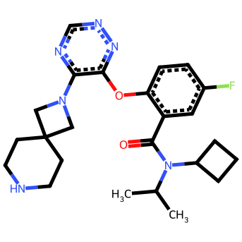 CC(C)N(C(=O)c1cc(F)ccc1Oc1nncnc1N1CC2(CCNCC2)C1)C1CCC1